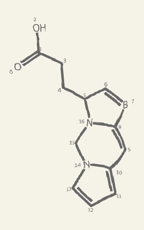 O=C(O)CCC1C=BC2=Cc3cccn3CN21